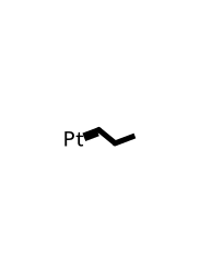 CC[CH]=[Pt]